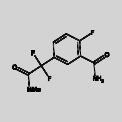 [CH2]NC(=O)C(F)(F)c1ccc(F)c(C(N)=O)c1